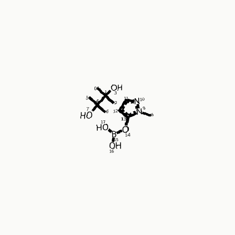 CC(C)(O)C(C)(C)O.Cn1nccc1OB(O)O